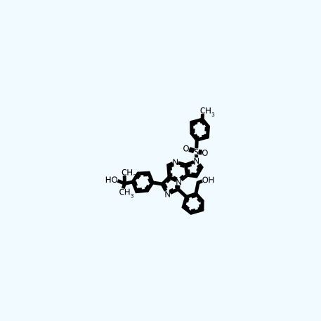 Cc1ccc(S(=O)(=O)n2ccc3c2ncc2c(-c4ccc(C(C)(C)O)cc4)nc(-c4ccccc4CO)n23)cc1